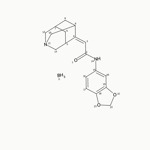 B.O=C(C=C1C2CC3CC1CN(C3)C2)Nc1ccc2c(c1)OCO2